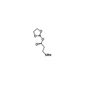 CSCCC(=O)ON1OCCO1